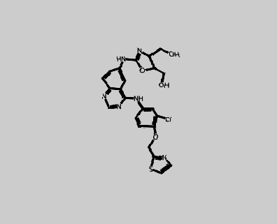 OCC1N=C(Nc2ccc3ncnc(Nc4ccc(OCc5nccs5)c(Cl)c4)c3c2)OC1CO